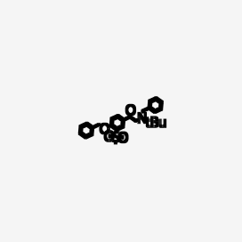 CC(C)(C)N(CC(=O)c1ccc(OCc2ccccc2)c(S(C)(=O)=O)c1)Cc1ccccc1